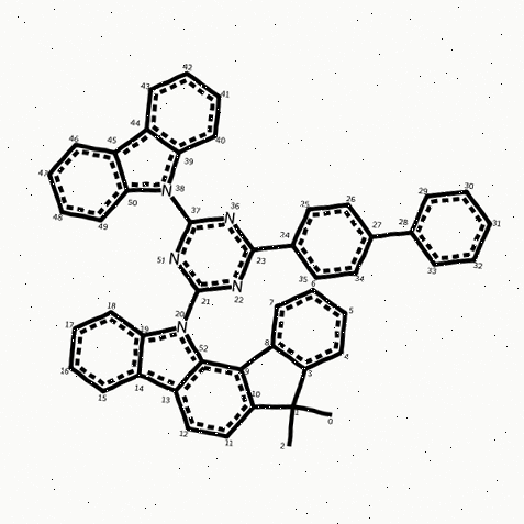 CC1(C)c2ccccc2-c2c1ccc1c3ccccc3n(-c3nc(-c4ccc(-c5ccccc5)cc4)nc(-n4c5ccccc5c5ccccc54)n3)c21